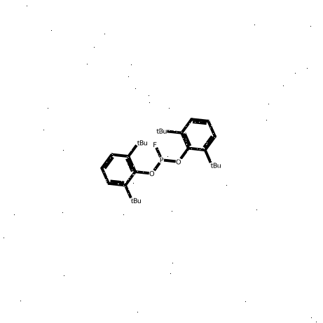 CC(C)(C)c1cccc(C(C)(C)C)c1OP(F)Oc1c(C(C)(C)C)cccc1C(C)(C)C